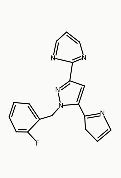 Fc1ccccc1Cn1nc(-c2ncccn2)cc1C1=NC=CC1